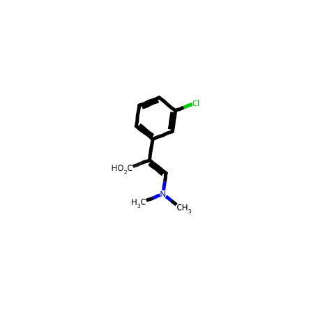 CN(C)C=C(C(=O)O)c1cccc(Cl)c1